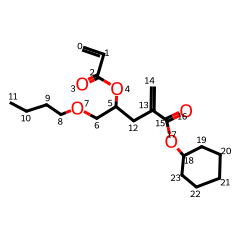 C=CC(=O)OC(COCCCC)CC(=C)C(=O)OC1CCCCC1